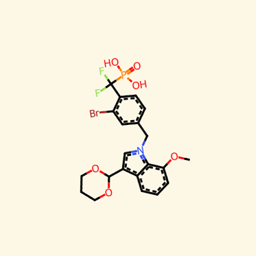 COc1cccc2c(C3OCCCO3)cn(Cc3ccc(C(F)(F)P(=O)(O)O)c(Br)c3)c12